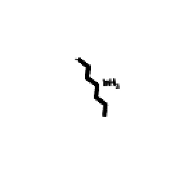 [CH2]CCCCCC.[InH3]